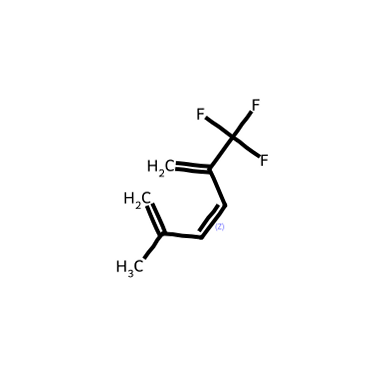 C=C(C)/C=C\C(=C)C(F)(F)F